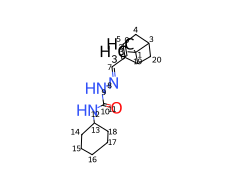 CC1(C)C2CC=C(/C=N/NC(=O)NC3CCCCC3)C1C2